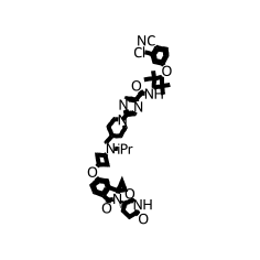 CC(C)N(CC1CCN(c2cnc(C(=O)NC3C(C)(C)C(Oc4ccc(C#N)c(Cl)c4)C3(C)C)cn2)CC1)C1CC(Oc2ccc3c(c2)C2(CC2)N([C@@H]2CCC(=O)NC2=O)C3=O)C1